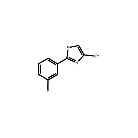 CC(C)c1csc(-c2cccc(F)c2)n1